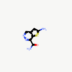 NC(=O)c1nncc2cc(N)sc12